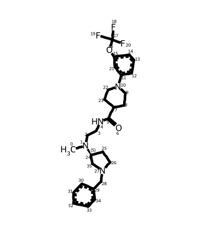 CN(CCNC(=O)C1CCN(c2cccc(OC(F)(F)F)c2)CC1)[C@H]1CCN(Cc2ccccc2)C1